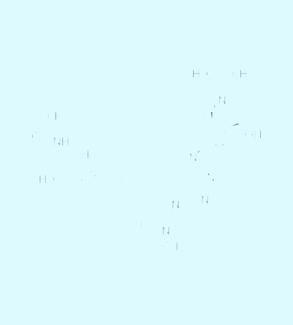 CC(C)=NO[C@@H]1C[C@H](n2cc(C#CCOCSSC(C)(C)CNC(=O)C(F)(F)F)c3c(/N=C/N(C)C)ncnc32)O[C@@H]1CO